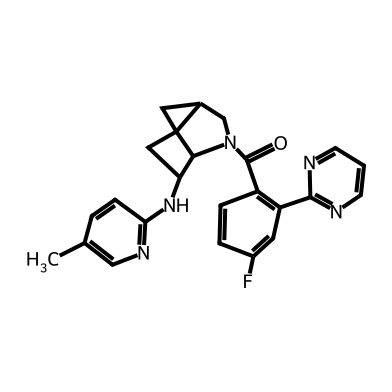 Cc1ccc(NC2CC34CC3CN(C(=O)c3ccc(F)cc3-c3ncccn3)C24)nc1